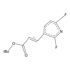 CC(C)(C)OC(=O)/C=C/c1ccc(F)nc1F